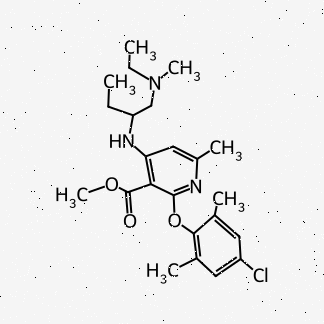 CCC(CN(C)CC)Nc1cc(C)nc(Oc2c(C)cc(Cl)cc2C)c1C(=O)OC